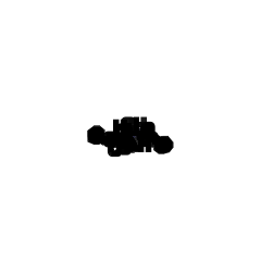 O=C(C/C=C(/C(=O)O)C1NCSN1NC(=O)OCc1ccccc1)OCc1ccccc1